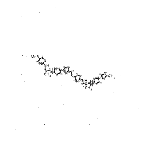 CSc1cnc(NCC(C)CNc2ccc(-n3cnc(CSc4cnc(NCC(C)CNc5ccc(-n6cnc(C)n6)cn5)nc4)n3)cn2)nc1